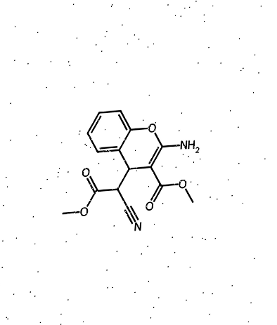 COC(=O)C1=C(N)Oc2ccccc2C1C(C#N)C(=O)OC